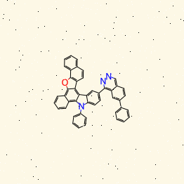 c1ccc(-c2ccc3cnnc(-c4ccc5c(c4)c4c6c7ccc8ccccc8c7oc6c6ccccc6c4n5-c4ccccc4)c3c2)cc1